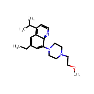 CCc1cc(N2CCN(CCOC)CC2)c2nccc(C(C)C)c2c1